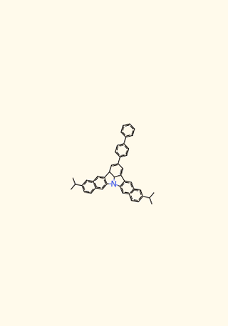 CC(C)c1ccc2cc3c(cc2c1)C1=CC(c2ccc(-c4ccccc4)cc2)=CC2c4cc5cc(C(C)C)ccc5cc4N3C12